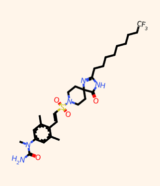 Cc1cc(N(C)C(N)=O)cc(C)c1C=CS(=O)(=O)N1CCC2(CC1)N=C(CCCCCCCCC(F)(F)F)NC2=O